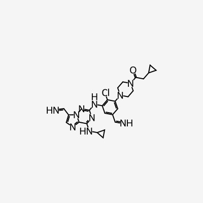 N=Cc1cc(Nc2nc(NC3CC3)c3ncc(C=N)n3n2)c(Cl)c(N2CCN(C(=O)CC3CC3)CC2)c1